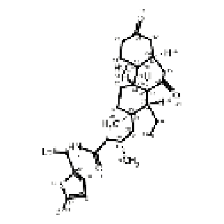 CCC(NC(=O)C[C@@H](C)[C@H]1CC[C@H]2[C@@H]3C(=O)C[C@@H]4CC(=O)CC[C@]4(C)[C@H]3CC[C@]12C)c1ccc(Br)s1